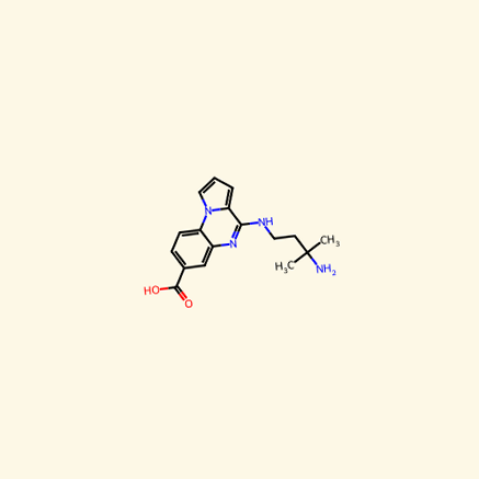 CC(C)(N)CCNc1nc2cc(C(=O)O)ccc2n2cccc12